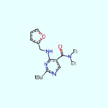 CCN(CC)C(=O)c1cnc(C(C)(C)C)nc1NCc1ccco1